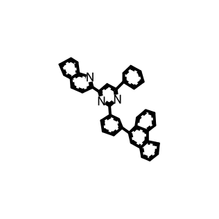 c1ccc(-c2cc(-c3ccc4ccccc4n3)nc(-c3cccc(-c4cc5ccccc5c5ccccc45)c3)n2)cc1